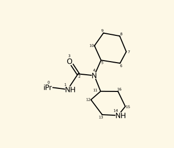 CC(C)NC(=O)N(C1CCCCC1)C1CCNCC1